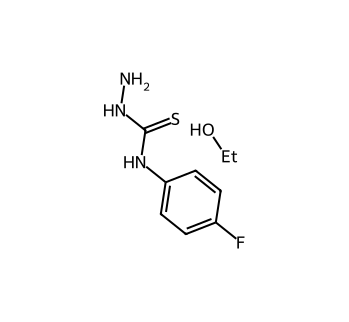 CCO.NNC(=S)Nc1ccc(F)cc1